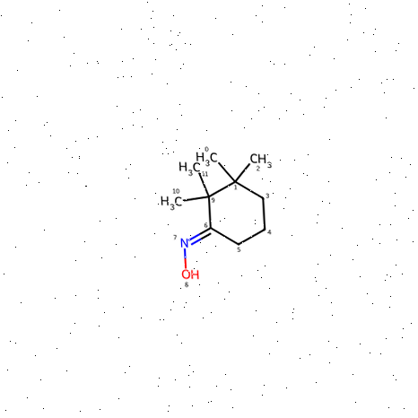 CC1(C)CCCC(=NO)C1(C)C